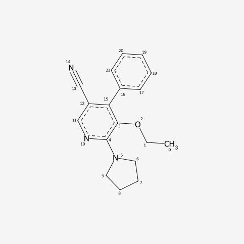 CCOc1c(N2CCCC2)ncc(C#N)c1-c1ccccc1